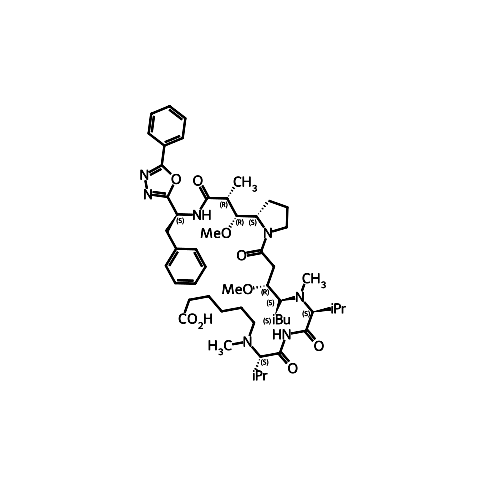 CC[C@H](C)[C@@H]([C@@H](CC(=O)N1CCC[C@H]1[C@H](OC)[C@@H](C)C(=O)N[C@@H](Cc1ccccc1)c1nnc(-c2ccccc2)o1)OC)N(C)[C@H](C(=O)NC(=O)[C@H](C(C)C)N(C)CCCCCC(=O)O)C(C)C